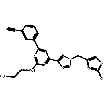 CCCNc1nc(-c2cccc(C#N)c2)cc(-c2cn(Cc3csc(Cl)n3)nn2)n1